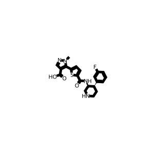 Cn1ncc(C(=O)O)c1-c1ccc(C(=O)N[C@@H]2CNCC[C@H]2c2cccc(F)c2)s1